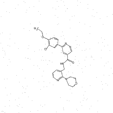 CCOc1ccc(-c2cc(C(=O)NCc3cccnc3N3CCOCC3)cnn2)cc1Cl